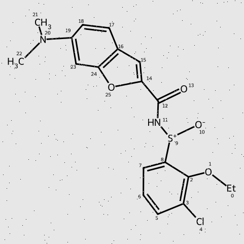 CCOc1c(Cl)cccc1[S+]([O-])NC(=O)c1cc2ccc(N(C)C)cc2o1